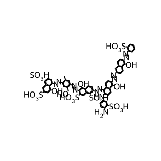 Cc1cc(N=Nc2c(S(=O)(=O)O)cc3c(S(=O)(=O)O)c(N=Nc4c(Nc5ccc(N)c(S(=O)(=O)O)c5)ccc5c(O)c(N=Nc6ccc7c(O)c(N=Nc8ccccc8S(=O)(=O)O)ccc7c6)ccc45)ccc3c2O)c(CO)cc1N=Nc1cc(S(=O)(=O)O)cc2cc(S(=O)(=O)O)cc(O)c12